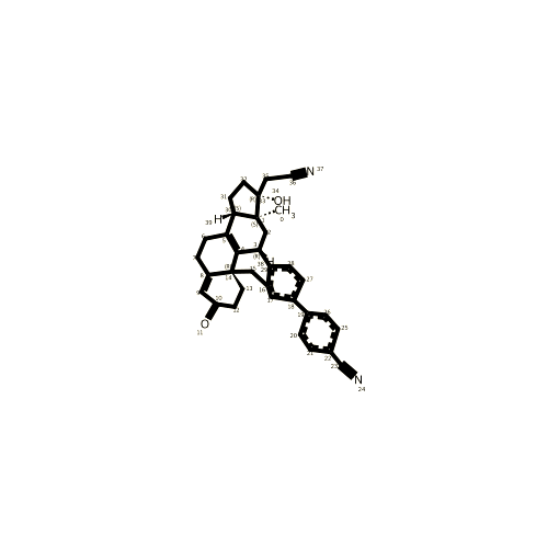 C[C@]12C[C@H]3C4=C(CCC5=CC(=O)CC[C@@]54Cc4cc(-c5ccc(C#N)cc5)ccc43)[C@@H]1CC[C@@]2(O)CC#N